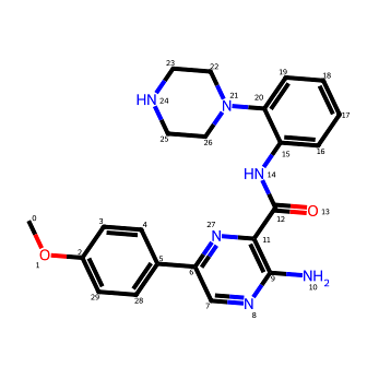 COc1ccc(-c2cnc(N)c(C(=O)Nc3ccccc3N3CCNCC3)n2)cc1